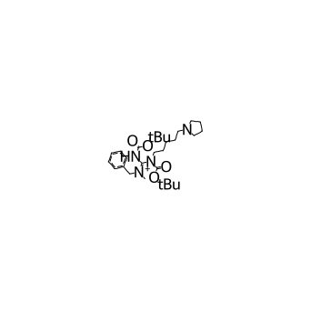 C[N+](Cc1ccccc1)=C(NC(=O)OC(C)(C)C)N(CCCCCN1CCCC1)C(=O)OC(C)(C)C